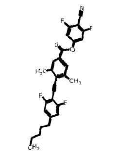 CCCCCc1cc(F)c(C#Cc2c(C)cc(C(=O)Oc3cc(F)c(C#N)c(F)c3)cc2C)c(F)c1